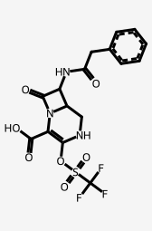 O=C(Cc1ccccc1)NC1C(=O)N2C(C(=O)O)=C(OS(=O)(=O)C(F)(F)F)NCC12